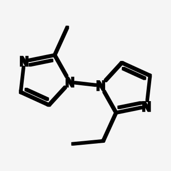 CCc1nccn1-n1ccnc1C